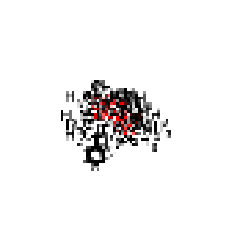 C=C(CC[SiH](O[Si](O[Si](C)(C)C)(O[Si](C)(C)C)O[Si](C)(C)C)O[Si](O[Si](C)(C)C)(O[Si](C)(C)C)O[Si](C)(C)C)c1ccccc1